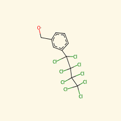 [O]Cc1cccc(C(Cl)(Cl)C(Cl)(Cl)C(Cl)(Cl)C(Cl)(Cl)Cl)c1